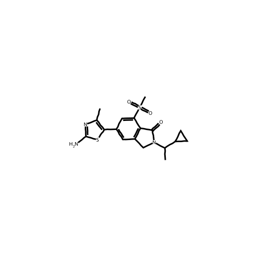 Cc1nc(N)sc1-c1cc2c(c(S(C)(=O)=O)c1)C(=O)N(C(C)C1CC1)C2